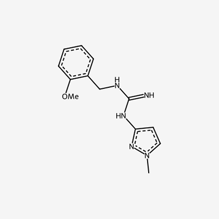 COc1ccccc1CNC(=N)Nc1ccn(C)n1